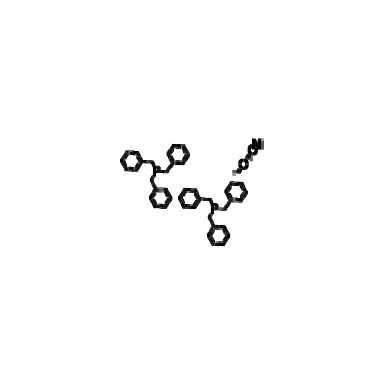 [C]=O.[C]=O.[Ni].c1ccc(CP(Cc2ccccc2)Cc2ccccc2)cc1.c1ccc(CP(Cc2ccccc2)Cc2ccccc2)cc1